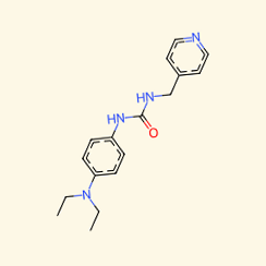 CCN(CC)c1ccc(NC(=O)NCc2ccncc2)cc1